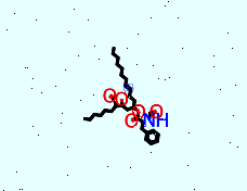 CCCCCCC/C=C/CCC(CC1OC(=O)C1CCCCCC)OC(=O)C(Cc1ccccc1)NC=O